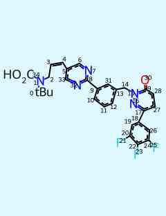 CC(C)(C)N(C/C=C\c1cnc(-c2cccc(Cn3nc(-c4cc(F)c(F)c(F)c4)ccc3=O)c2)nc1)C(=O)O